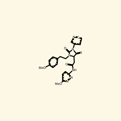 COc1ccc(CCN2C(=O)N(c3cccnc3)C(=S)C2CC(=O)Nc2ccc(OC)nn2)cc1